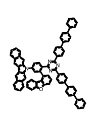 c1ccc(-c2ccc(-c3ccc(-c4nc(-c5ccc(-c6ccc(-c7ccccc7)cc6)cc5)nc(-c5ccc(-n6c7cc8ccccc8cc7c7cc8ccccc8cc76)cc5-c5cccc6oc7ccccc7c56)n4)cc3)cc2)cc1